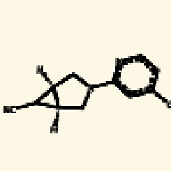 N#CC1[C@H]2CN(c3cc(Cl)ccn3)C[C@@H]12